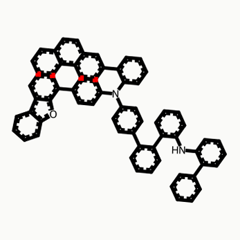 c1ccc(-c2ccccc2Nc2ccccc2-c2ccccc2-c2ccc(N(c3ccc(-c4cccc5c4oc4ccccc45)cc3)c3ccccc3-c3ccc4c(ccc5ccccc54)c3)cc2)cc1